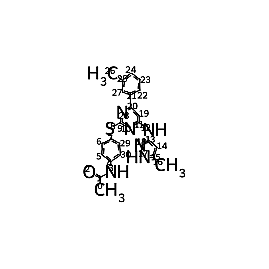 CC(=O)Nc1ccc(Sc2nc(Nc3cc(C)[nH]n3)cc(-c3cccc(C)c3)n2)cc1